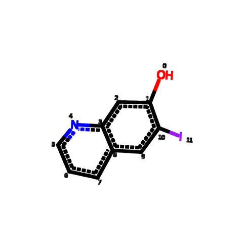 Oc1cc2ncccc2cc1I